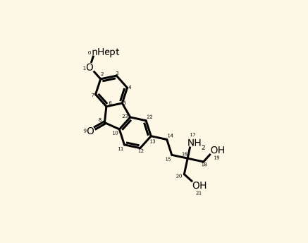 CCCCCCCOc1ccc2c(c1)C(=O)c1ccc(CCC(N)(CO)CO)cc1-2